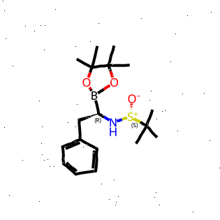 CC(C)(C)[S@@+]([O-])N[C@@H](Cc1ccccc1)B1OC(C)(C)C(C)(C)O1